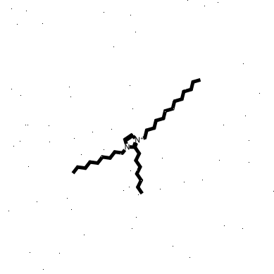 CCCCCCCCCCCCC[n+]1ccn(CCCCCCCCC)c1CCCCCCC